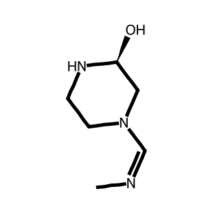 C/N=C\N1CCN[C@@H](O)C1